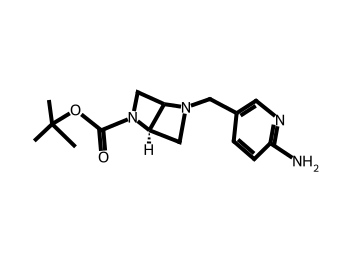 CC(C)(C)OC(=O)N1CC2[C@H]1CN2Cc1ccc(N)nc1